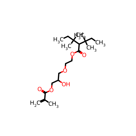 C=C(C)C(=O)OCC(O)COCCOC(=O)C(C(C)(C)CC)C(C)(C)CC